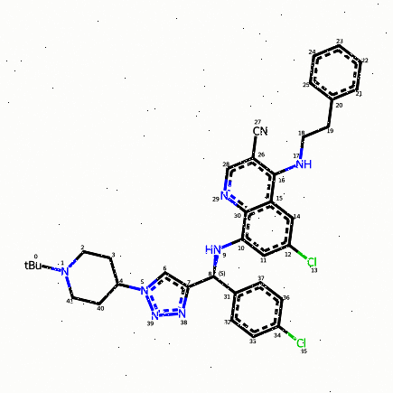 CC(C)(C)N1CCC(n2cc([C@@H](Nc3cc(Cl)cc4c(NCCc5ccccc5)c(C#N)cnc34)c3ccc(Cl)cc3)nn2)CC1